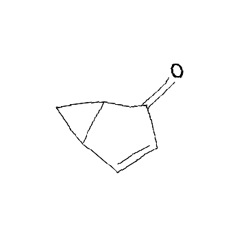 O=C1C=CC2CC12